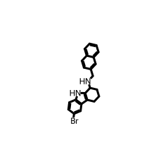 Brc1ccc2[nH]c3c(c2c1)CCCC3NCc1ccc2ccccc2c1